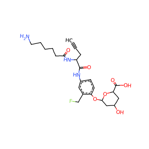 C#CCC(NC(=O)CCCCCN)C(=O)Nc1ccc(OC2CC(O)CC(C(=O)O)O2)c(CF)c1